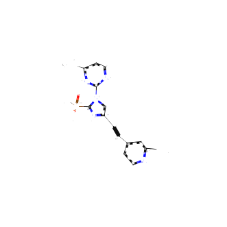 COc1ccnc(-n2cc(C#Cc3ccnc(C)c3)nc2S(C)(=O)=O)n1